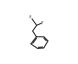 FC(F)Cc1[c]cccc1